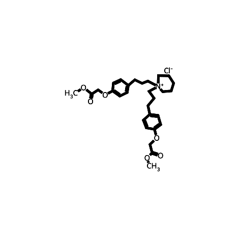 COC(=O)COc1ccc(CCC[N+]2(CCCc3ccc(OCC(=O)OC)cc3)CCCCC2)cc1.[Cl-]